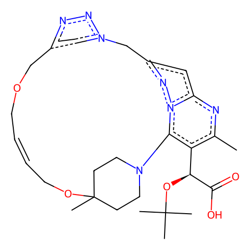 Cc1nc2cc3nn2c(c1[C@H](OC(C)(C)C)C(=O)O)N1CCC(C)(CC1)OCC=CCOCc1cn(nn1)C3